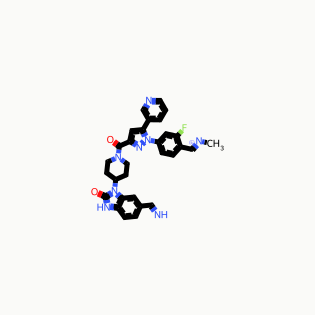 C/N=C/c1ccc(-n2nc(C(=O)N3CCC(n4c(=O)[nH]c5ccc(C=N)cc54)CC3)cc2-c2cccnc2)cc1F